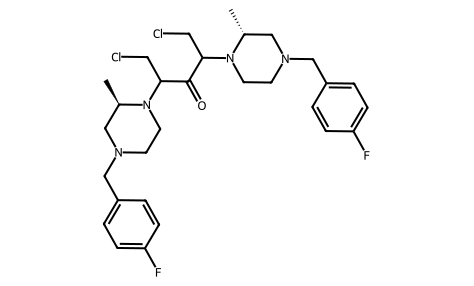 C[C@@H]1CN(Cc2ccc(F)cc2)CCN1C(CCl)C(=O)C(CCl)N1CCN(Cc2ccc(F)cc2)C[C@H]1C